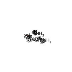 CC(C)(C)[Si](OCCOc1ccc2c(ccn2-c2ccnc(N)n2)c1)(c1ccccc1)c1ccccc1.Nc1ncccn1